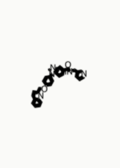 O=C(NCc1cccnc1)c1ccc2c(c1)ncn2-c1ccc(OCc2ccc3ccccc3n2)cc1